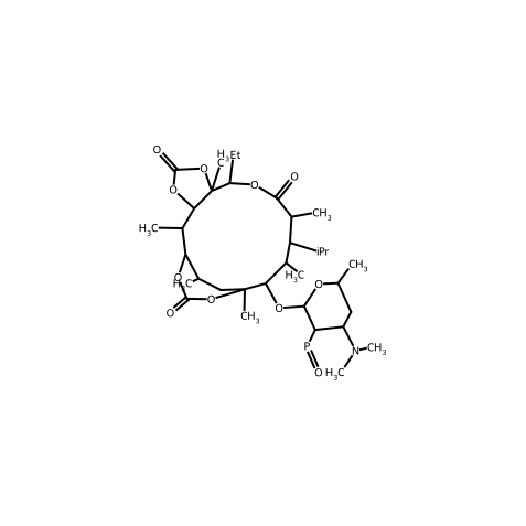 CCC1OC(=O)C(C)C(C(C)C)C(C)C(OC2OC(C)CC(N(C)C)C2P=O)C2(C)CC(C)C(OC(=O)O2)C(C)C2OC(=O)OC12C